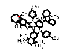 CC1c2cc3c4c(sc3cc2C2(C)CCCC1CC2)B1c2cc3c(cc2N(c2ccc(C(C)(C)C)cc2)c2cc(C5c6ccccc6C6(C)CCCCC56C)cc(c21)N4c1ccc(C(C)(C)C)cc1)C(C)(C)CCC3(C)C